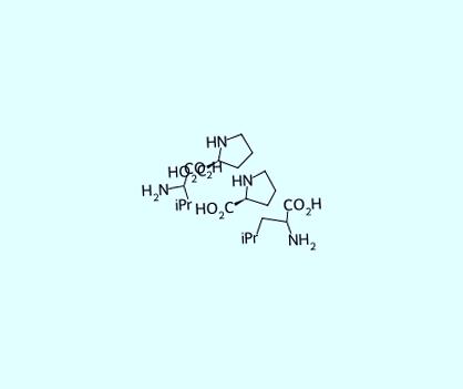 CC(C)C(N)C(=O)O.CC(C)CC(N)C(=O)O.O=C(O)[C@@H]1CCCN1.O=C(O)[C@@H]1CCCN1